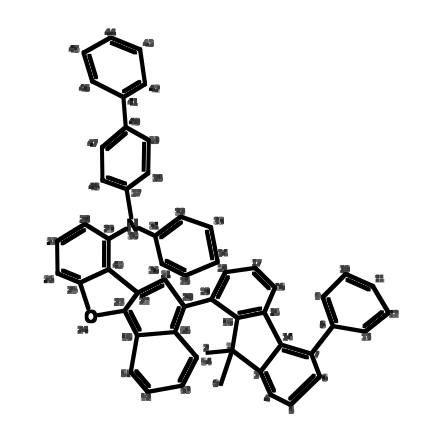 CC1(C)c2cccc(-c3ccccc3)c2-c2cccc(-c3cc4c(oc5cccc(N(c6ccccc6)c6ccc(-c7ccccc7)cc6)c54)c4ccccc34)c21